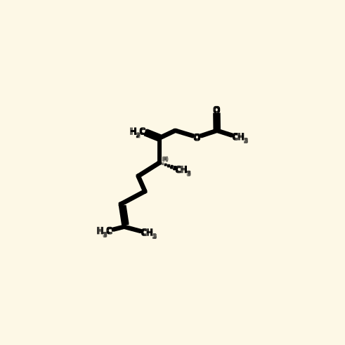 C=C(COC(C)=O)[C@H](C)CCC=C(C)C